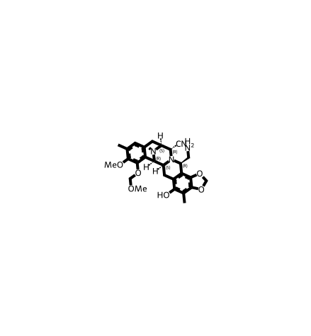 COCOc1c(OC)c(C)cc2c1[C@@H]1[C@@H]3Cc4c(O)c(C)c5c(c4[C@H](CN)N3[C@@H](C#N)[C@H](C2)N1C)OCO5